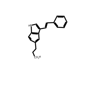 O=C(O)CCc1ccc2[nH]cc(C=Cc3ccccc3)c2c1